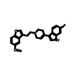 COc1ccc2occ(CCN3CC=C(c4c[nH]c5cc(F)ccc45)CC3)c2c1